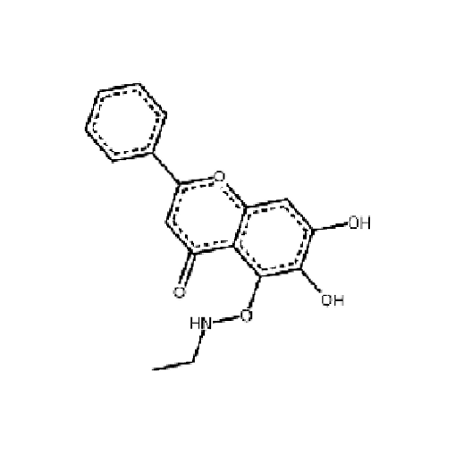 CCNOc1c(O)c(O)cc2oc(-c3ccccc3)cc(=O)c12